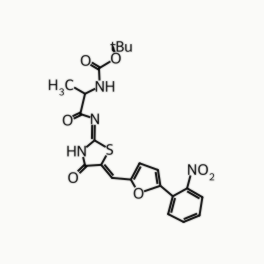 CC(NC(=O)OC(C)(C)C)C(=O)/N=C1\NC(=O)/C(=C/c2ccc(-c3ccccc3[N+](=O)[O-])o2)S1